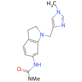 CNC(=O)Nc1ccc2c(c1)N(Cc1cn(C)cn1)CC2